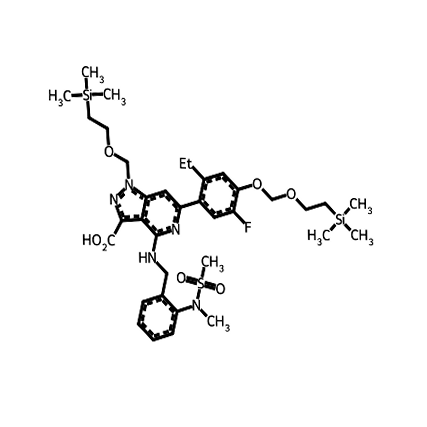 CCc1cc(OCOCC[Si](C)(C)C)c(F)cc1-c1cc2c(c(NCc3ccccc3N(C)S(C)(=O)=O)n1)c(C(=O)O)nn2COCC[Si](C)(C)C